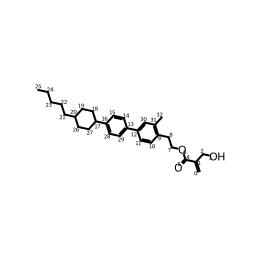 C=C(CO)C(=O)OCCc1ccc(-c2ccc(C3CCC(CCCCC)CC3)cc2)cc1C